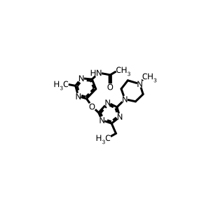 CCc1nc(Oc2cc(NC(C)=O)nc(C)n2)nc(N2CCN(C)CC2)n1